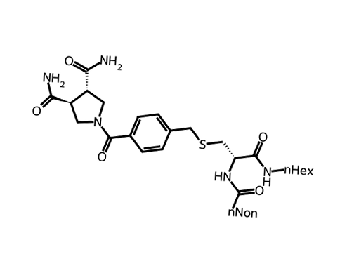 CCCCCCCCCC(=O)N[C@H](CSCc1ccc(C(=O)N2C[C@@H](C(N)=O)[C@H](C(N)=O)C2)cc1)C(=O)NCCCCCC